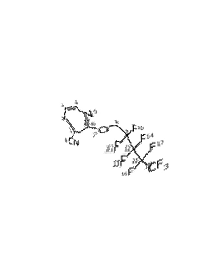 N#Cc1cccnc1OCC(F)(F)C(F)(F)C(F)(F)C(F)(F)F